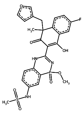 COP1(=O)N=C(C2=C(O)c3cc(F)ccc3C(C)(Cc3ccoc3)C2=O)Nc2ccc(NS(C)(=O)=O)cc21